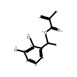 C=C(C)C(=O)OC(C)c1cccc(Cl)c1Cl